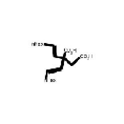 CCCCCCC=CC(C=CCCCCCC)(CC(=O)O)C(=O)O